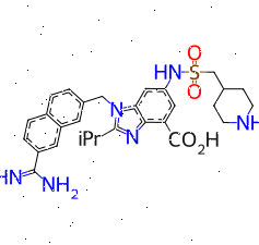 CC(C)c1nc2c(C(=O)O)cc(NS(=O)(=O)CC3CCNCC3)cc2n1Cc1ccc2ccc(C(=N)N)cc2c1